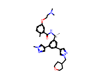 Cc1ccc(OCCN(C)C)cc1C(=O)N[C@H](C)c1cc(-c2cnn(C)c2)cc(-c2cnn(CC3CCOCC3)c2)c1